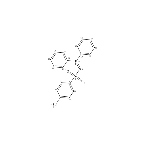 CCCCc1ccc(S(=O)(=O)N=[PH](c2ccccc2)c2ccccc2)cc1